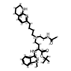 CC(=O)NCCN(CCCCc1ccc2c(n1)NCCC2)CCC(Nc1nn(C)c2ccccc12)C(=O)OC(C)(C)C